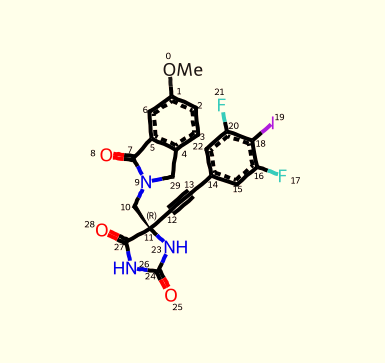 COc1ccc2c(c1)C(=O)N(C[C@@]1(C#Cc3cc(F)c(I)c(F)c3)NC(=O)NC1=O)C2